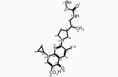 CC(CNC(=O)OC(C)(C)C)C1CCN(c2nc3c(cc2F)c(=O)c(C(=O)O)cn3C2CC2)C1